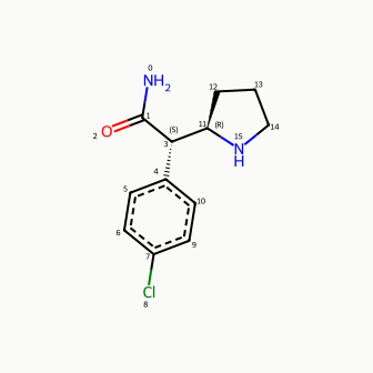 NC(=O)[C@@H](c1ccc(Cl)cc1)[C@H]1CCCN1